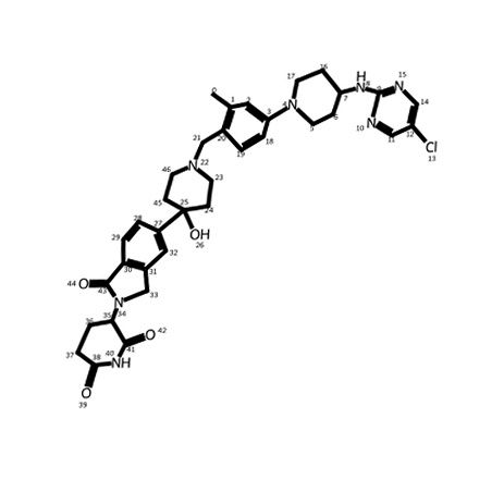 Cc1cc(N2CCC(Nc3ncc(Cl)cn3)CC2)ccc1CN1CCC(O)(c2ccc3c(c2)CN(C2CCC(=O)NC2=O)C3=O)CC1